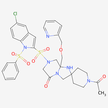 CC(=O)N1CCC2(CC1)CN1C(=O)CN(S(=O)(=O)c3cc4cc(Cl)ccc4n3S(=O)(=O)c3ccccc3)CC1(COCc1ccccn1)N2